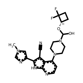 Cn1cnc(-c2[nH]c3nccc(N4CCN(C(O)O[C@H]5CCC5(F)F)CC4)c3c2C#N)c1